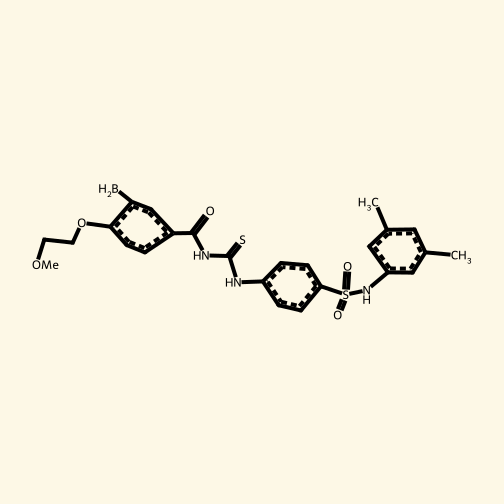 Bc1cc(C(=O)NC(=S)Nc2ccc(S(=O)(=O)Nc3cc(C)cc(C)c3)cc2)ccc1OCCOC